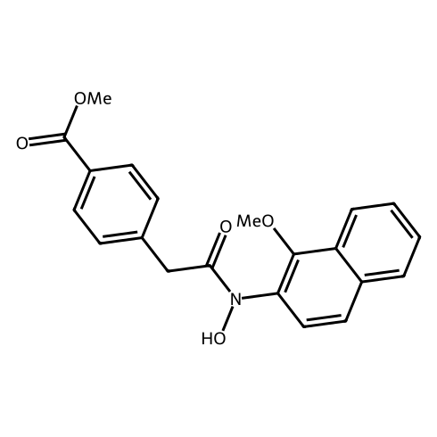 COC(=O)c1ccc(CC(=O)N(O)c2ccc3ccccc3c2OC)cc1